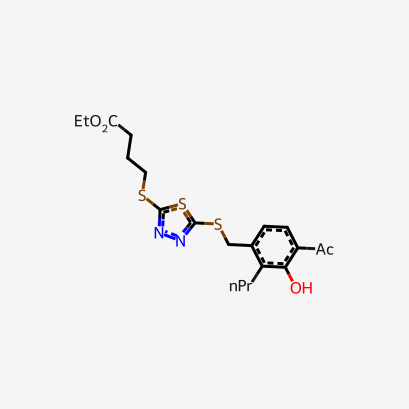 CCCc1c(CSc2nnc(SCCCC(=O)OCC)s2)ccc(C(C)=O)c1O